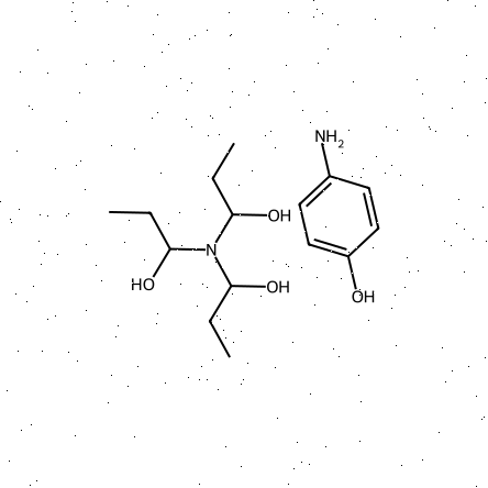 CCC(O)N(C(O)CC)C(O)CC.Nc1ccc(O)cc1